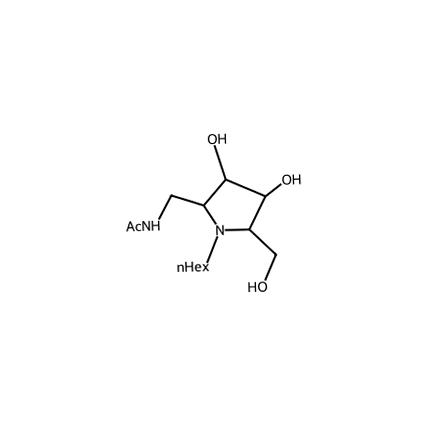 CCCCCCN1C(CO)C(O)C(O)C1CNC(C)=O